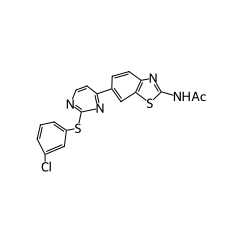 CC(=O)Nc1nc2ccc(-c3ccnc(Sc4cccc(Cl)c4)n3)cc2s1